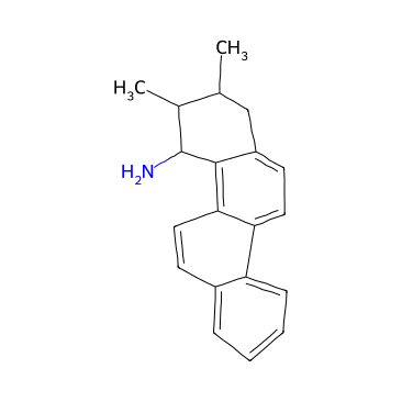 CC1Cc2ccc3c(ccc4ccccc43)c2C(N)C1C